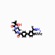 CNc1ccc(-c2ccc(C(=O)N3CCN(C(=O)C4(O)CC4)CC3)cc2)cc1C(C)N